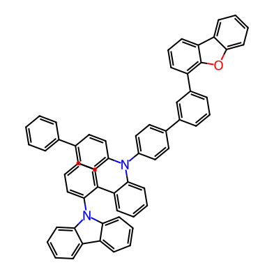 c1ccc(-c2ccc(N(c3ccc(-c4cccc(-c5cccc6c5oc5ccccc56)c4)cc3)c3ccccc3-c3ccccc3-n3c4ccccc4c4ccccc43)cc2)cc1